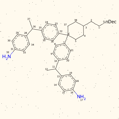 CCCCCCCCCCCCC1CCC(c2ccc(C(C)c3ccc(N)cc3)cc2)(c2ccc(C(C)c3ccc(N)cc3)cc2)CC1